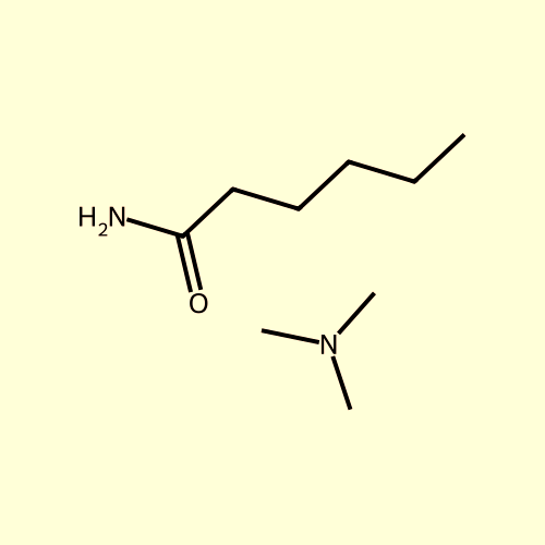 CCCCCC(N)=O.CN(C)C